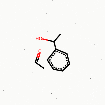 CC(O)c1ccccc1.CC=O